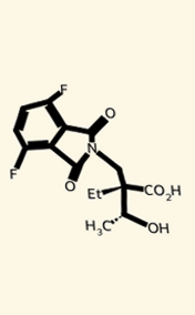 CC[C@@](CN1C(=O)c2c(F)ccc(F)c2C1=O)(C(=O)O)[C@@H](C)O